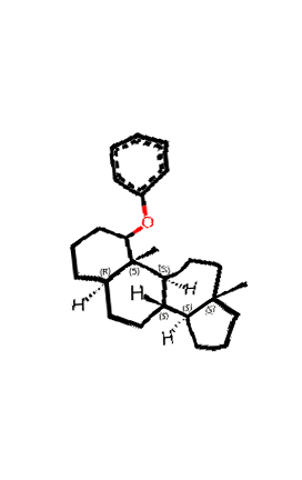 C[C@@]12CCC[C@H]1[C@@H]1CC[C@H]3CCCC(Oc4ccccc4)[C@]3(C)[C@H]1CC2